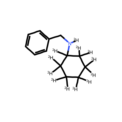 [2H]N(Cc1ccccc1)C1([2H])C([2H])([2H])C([2H])([2H])C([2H])([2H])C([2H])([2H])C1([2H])[2H]